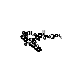 C=CS(=O)(=O)N1CCCc2cc(C(=O)NCCCC(Cc3ccccc3)C(=O)N3CCC(O)(Cn4cnc5cc(NC(=O)CCN6CCN(C)CC6)ccc5c4=O)CC3)ccc21